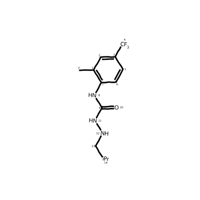 Cc1cc(C(F)(F)F)ccc1NC(=O)NNCC(C)C